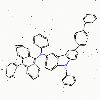 c1ccc(-c2ccc(-c3ccc4c(c3)c3cc(N(c5ccccc5)c5c6ccccc6c(-c6ccccc6)c6ccccc56)ccc3n4-c3ccccc3)cc2)cc1